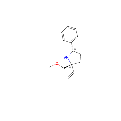 C=C[C@@]1(COC)CC[C@@H](c2ccccc2)N1